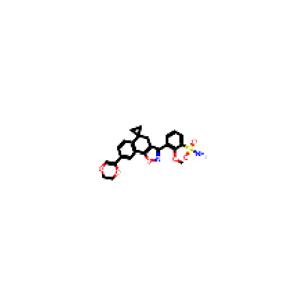 COc1c(-c2noc3c2CC2(CC2)c2ccc(C4=COCCO4)cc2-3)cccc1S(N)(=O)=O